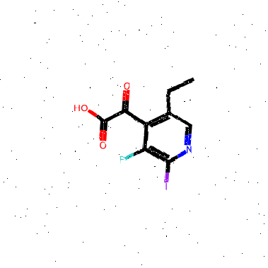 CCc1cnc(I)c(F)c1C(=O)C(=O)O